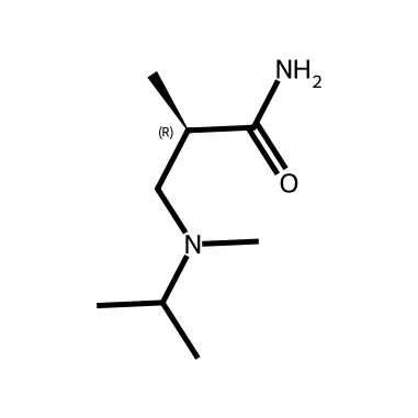 CC(C)N(C)C[C@@H](C)C(N)=O